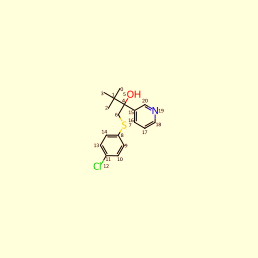 CC(C)(C)C(O)(CSc1ccc(Cl)cc1)c1cccnc1